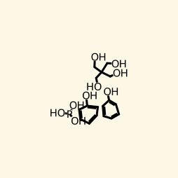 OCC(CO)(CO)CO.OP(O)O.Oc1ccccc1.Oc1ccccc1